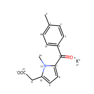 Cc1ccc(C(=O)c2ccc(CC(=O)[O-])n2C)cc1.[K+]